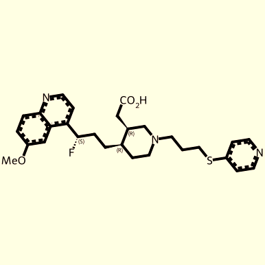 COc1ccc2nccc([C@@H](F)CC[C@@H]3CCN(CCCSc4ccncc4)C[C@@H]3CC(=O)O)c2c1